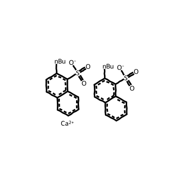 CCCCc1ccc2ccccc2c1S(=O)(=O)[O-].CCCCc1ccc2ccccc2c1S(=O)(=O)[O-].[Ca+2]